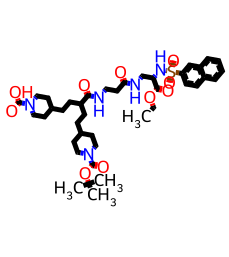 CCOC(=O)C(CNC(=O)CCNC(=O)C(CCC1CCN(C(=O)O)CC1)CCC1CCN(C(=O)OC(C)(C)C)CC1)NS(=O)(=O)c1ccc2ccccc2c1